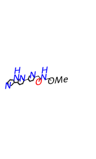 COCCNC(=O)Cc1ccc(-c2ccc3c(n2)[nH]c2ccncc23)cn1